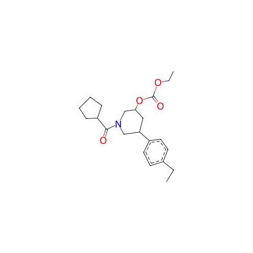 CCOC(=O)OC1CC(c2ccc(CC)cc2)CN(C(=O)C2CCCC2)C1